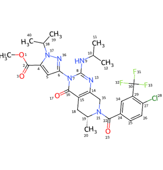 COC(=O)c1cc(-n2c(NC(C)C)nc3c(c2=O)C[C@@H](C)N(C(=O)c2ccc(Cl)c(C(F)(F)F)c2)C3)nn1C(C)C